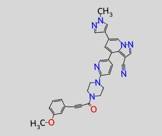 COc1cccc(C#CC(=O)N2CCN(c3ccc(-c4cc(-c5cnn(C)c5)cn5ncc(C#N)c45)cn3)CC2)c1